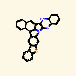 C1=CC2=Nc3c(c4c5c(c6cc7c(cc6n35)sc3ccccc37)C3C=CC=CC3C=4)NC2C=C1